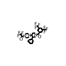 O=C(c1cc(C(F)(F)F)cc(C(F)(F)F)c1)N1CCC(N2CCN(C(=O)C(F)(F)F)CC2)C(c2ccccc2)C1